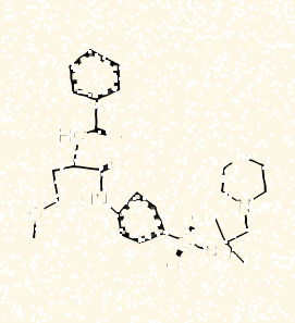 COCCC(NC(=O)c1ccccc1)C(=O)Nc1ccc(S(=O)(=O)NC(C)(C)CN2CCOCC2)cc1